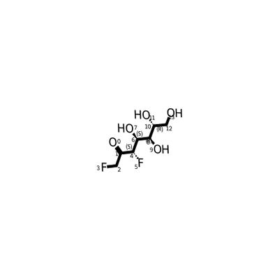 O=C(CF)[C@@H](F)[C@@H](O)[C@H](O)[C@H](O)CO